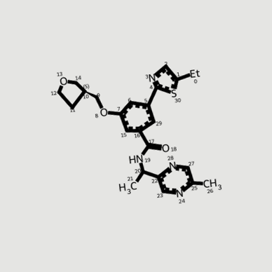 CCc1cnc(-c2cc(OC[C@H]3CCOC3)cc(C(=O)NC(C)c3cnc(C)cn3)c2)s1